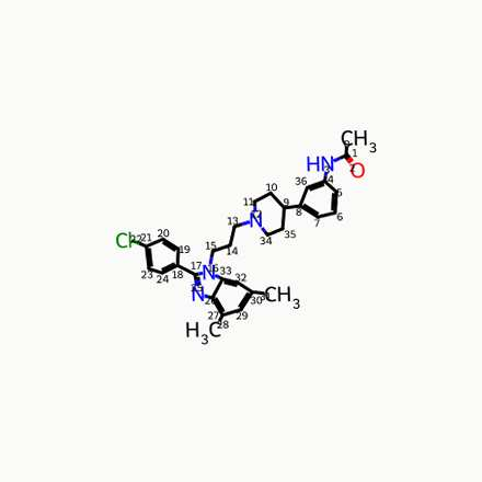 CC(=O)Nc1cccc(C2CCN(CCCn3c(-c4ccc(Cl)cc4)nc4c(C)cc(C)cc43)CC2)c1